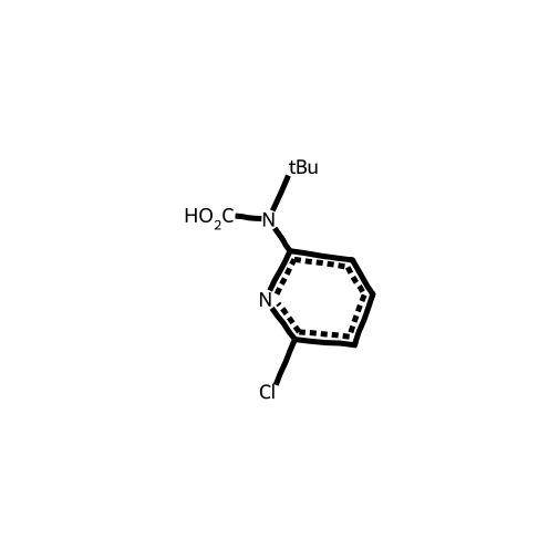 CC(C)(C)N(C(=O)O)c1cccc(Cl)n1